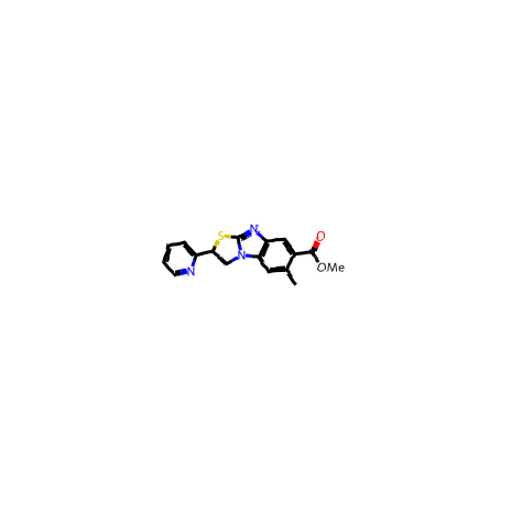 COC(=O)c1cc2nc3n(c2cc1C)CC(c1ccccn1)S3